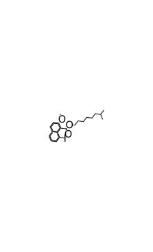 COc1ccc2cccc(I)c2c1C(=O)OCCCCCCC(C)C